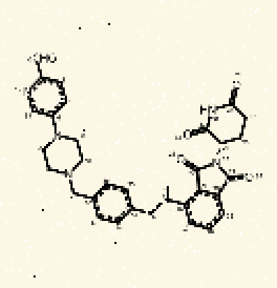 O=Cc1ccc(N2CCN(Cc3ccc(CNc4cccc5c4C(=O)N([C@H]4CCC(=O)NC4=O)C5=O)cc3)CC2)cn1